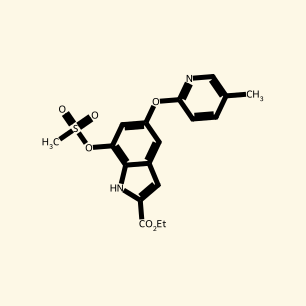 CCOC(=O)c1cc2cc(Oc3ccc(C)cn3)cc(OS(C)(=O)=O)c2[nH]1